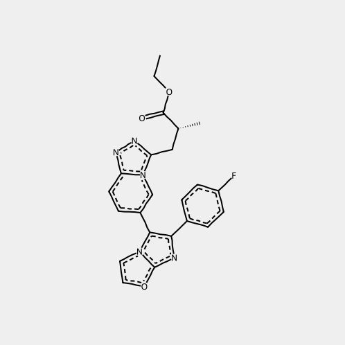 CCOC(=O)[C@H](C)Cc1nnc2ccc(-c3c(-c4ccc(F)cc4)nc4occn34)cn12